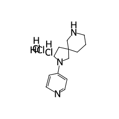 Cl.Cl.Cl.c1cc(N2CCC3(CCCNC3)C2)ccn1